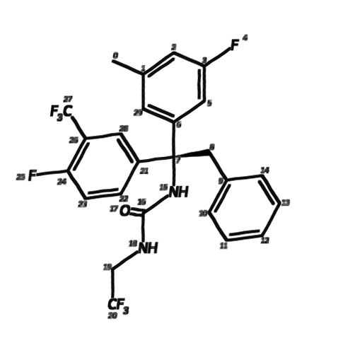 Cc1cc(F)cc([C@](Cc2ccccc2)(NC(=O)NCC(F)(F)F)c2ccc(F)c(C(F)(F)F)c2)c1